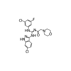 O=C(CN1CCOCC1)/N=C(/Nc1cc(F)cc(Cl)c1)Nc1n[nH]c2cc(Cl)ccc12